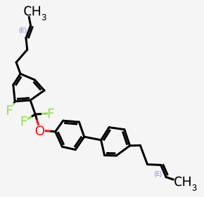 C/C=C/CCc1ccc(-c2ccc(OC(F)(F)c3ccc(CC/C=C/C)cc3F)cc2)cc1